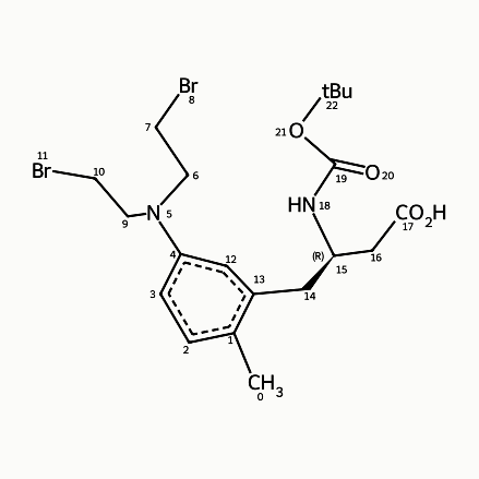 Cc1ccc(N(CCBr)CCBr)cc1C[C@H](CC(=O)O)NC(=O)OC(C)(C)C